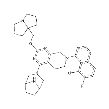 Fc1ccc2cccc(N3CCc4c(nc(OCC56CCCN5CCC6)nc4N4CC5CCC(C4)N5)C3)c2c1Cl